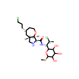 CSC1OC([C@H](NC(=O)[C@H]2NC[C@@H]3C[C@H](CCCCl)CCO[C@H]32)[C@H](C)Cl)C(O)C(O)C1O